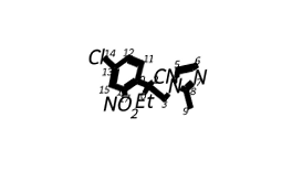 CCC(C#N)(Cn1ccnc1C)c1ccc(Cl)cc1[N+](=O)[O-]